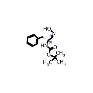 CC(C)(C)OC(=O)N[C@@H](/C=N\O)Cc1ccccc1